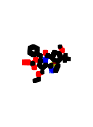 CCOC[C@@H]1C[C@](Cc2ccccc2)(OC(=O)O)N(C(=O)c2ccc(C(C)(C)C)c(OC)c2)[C@H]1c1nccs1